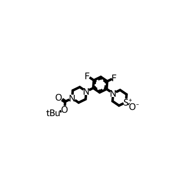 CC(C)(C)OC(=O)N1CCN(c2cc(N3CC[S+]([O-])CC3)c(F)cc2F)CC1